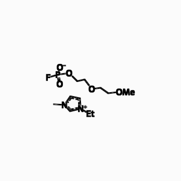 CC[n+]1ccn(C)c1.COCCOCCOP(=O)([O-])F